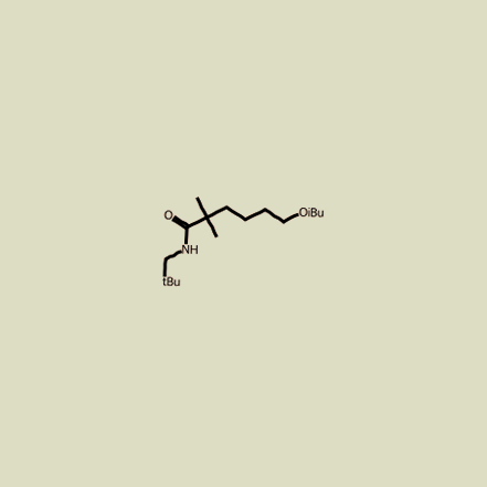 CC(C)COCCCCC(C)(C)C(=O)NCC(C)(C)C